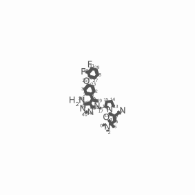 CN(C)C(C)(C)/C=C(/C#N)C(=O)N1CCC[C@H]1Cn1cc(-c2ccc(Oc3cccc(F)c3F)cc2)c2c(N)ncnc21